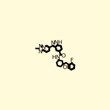 Cc1nc2ccc(-c3n[nH]c4ccc(C(=O)N[C@@H]5CCC[C@@](O)(Cc6ccccc6F)C5)cc34)cn2n1